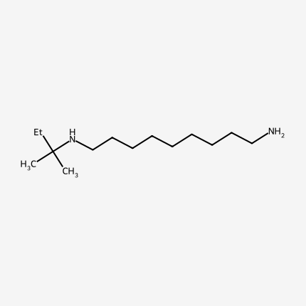 CCC(C)(C)NCCCCCCCCCN